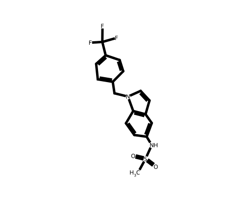 CS(=O)(=O)Nc1ccc2c(ccn2Cc2ccc(C(F)(F)F)cc2)c1